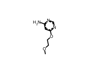 COCCOc1cc(N)ncn1